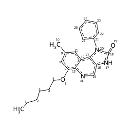 CCCCCCOc1cc(C)cc2c1ncc1[nH]c(=O)n(-c3ccccc3)c12